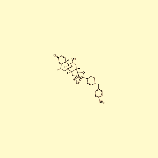 C[C@]12C=CC(=O)C=C1[C@@H](F)C[C@H]1[C@@H]3C[C@H]4O[C@H](C5C=CC(Cc6ccc(N)cc6)=CC5)O[C@@]4(C(=O)CO)[C@@]3(C)C[C@H](O)[C@@]12F